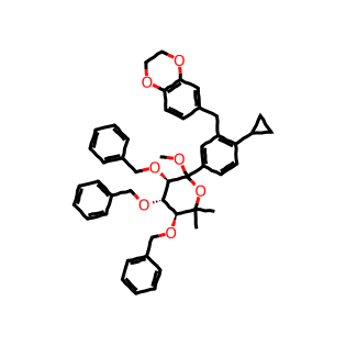 COC1(c2ccc(C3CC3)c(Cc3ccc4c(c3)OCCO4)c2)OC(C)(C)[C@@H](OCc2ccccc2)[C@H](OCc2ccccc2)[C@H]1OCc1ccccc1